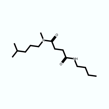 CCCCNC(=O)CCC(=O)N(C)CCCC(C)C